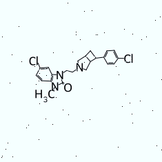 Cn1c(=O)n(CCN2CC3CC(c4ccc(Cl)cc4)C3C2)c2cc(Cl)ccc21